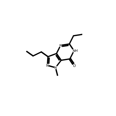 CCCc1nn(C)c2c(=O)[nH]c(CC)nc12